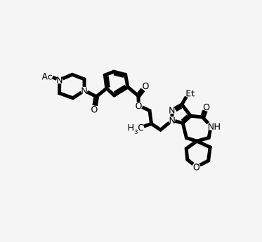 CCc1nn(CC(C)COC(=O)c2cccc(C(=O)N3CCN(C(C)=O)CC3)c2)c2c1C(=O)NCC1(CCOCC1)C2